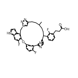 CC1CCc2cn(nn2)Cc2c(c(F)cc3[nH]ccc23)Oc2ccc(F)c(c2)-c2ncc([nH]2)C(c2cccc(CCC(=O)O)c2F)CC1